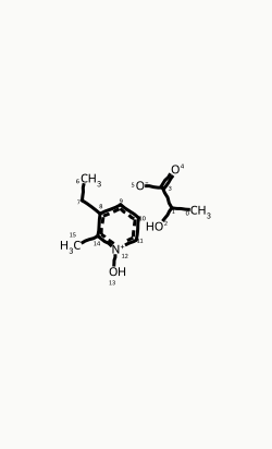 CC(O)C(=O)[O-].CCc1ccc[n+](O)c1C